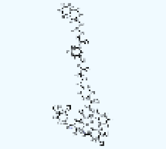 O=C(CNc1cc(C(=O)NCC(O)CN2CCc3ccccc3C2)ncn1)NCCN1CCN(C(=O)CNC(Cc2ccccc2)C(=O)N2C/C(=C\c3ccc(Cl)c(Cl)c3)C(=O)/C(=C/c3ccc(Cl)c(Cl)c3)C2)CC1